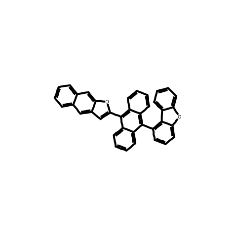 c1ccc2cc3oc(-c4c5ccccc5c(-c5cccc6oc7ccccc7c56)c5ccccc45)cc3cc2c1